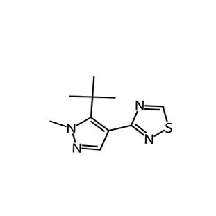 Cn1ncc(-c2ncsn2)c1C(C)(C)C